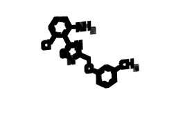 Cc1cccc(OCc2noc(-c3c(N)cccc3Cl)n2)c1